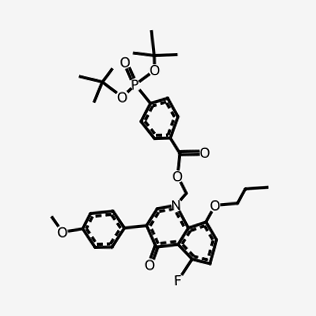 CCCOc1ccc(F)c2c(=O)c(-c3ccc(OC)cc3)cn(COC(=O)c3ccc(P(=O)(OC(C)(C)C)OC(C)(C)C)cc3)c12